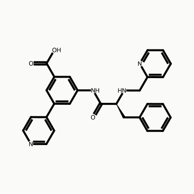 O=C(O)c1cc(NC(=O)[C@H](Cc2ccccc2)NCc2ccccn2)cc(-c2ccncc2)c1